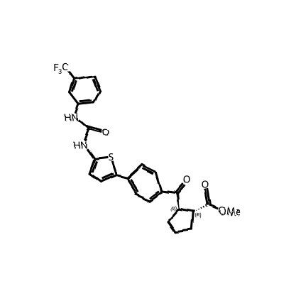 COC(=O)[C@@H]1CCC[C@H]1C(=O)c1ccc(-c2ccc(NC(=O)Nc3cccc(C(F)(F)F)c3)s2)cc1